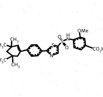 COc1cc(C(=O)O)ccc1NS(=O)(=O)c1cnc(-c2ccc(C3=CC(C)(C)CC(C)(C)C3)cc2)s1